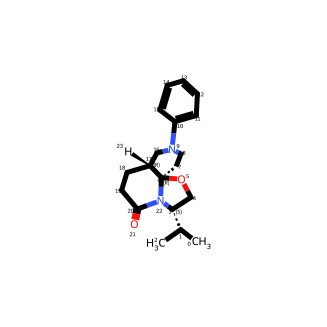 CC(C)[C@H]1CO[C@]23CCN(c4ccccc4)C[C@H]2CCC(=O)N13